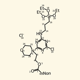 CCCCCCCCCC(=O)OCC[N+]1(c2nc(Cl)nc(NCCC[Si](OCC)(OCC)OCC)n2)CCOCC1.[Cl-]